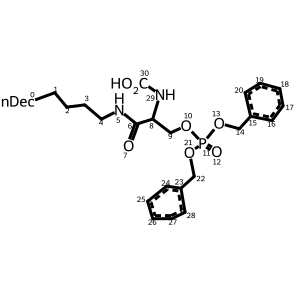 CCCCCCCCCCCCCCNC(=O)C(COP(=O)(OCc1ccccc1)OCc1ccccc1)NC(=O)O